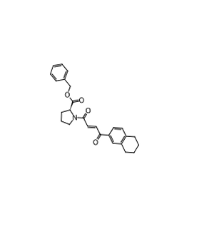 O=C(/C=C/C(=O)N1CCC[C@H]1C(=O)OCc1ccccc1)c1ccc2c(c1)CCCC2